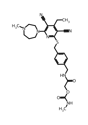 CCc1c(C#N)c(SCc2ccc(CNC(=O)COC(=O)NC)cc2)nc(N2CCCN(C)CC2)c1C#N